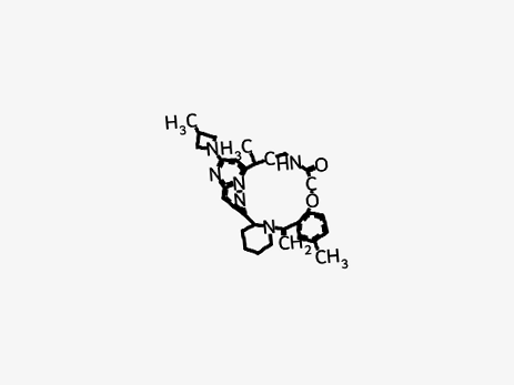 C=C1c2cc(C)ccc2OCC(=O)NCCC(C)c2cc(N3CC(C)C3)nc3cc(nn23)C2CCCCN12